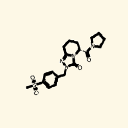 CS(=O)(=O)c1ccc(Cn2nc3n(c2=O)[C@@H](C(=O)N2CCCC2)CCC3)cc1